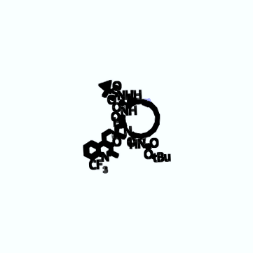 Cc1nc2c(C(F)(F)F)cccc2c2c1O[C@]1(CC2)C[C@H]2C(=O)N[C@]3(C(=O)NS(=O)(=O)C4(C)CC4)C[C@H]3/C=C\CCCCC[C@H](NC(=O)OC(C)(C)C)C(=O)N2C1